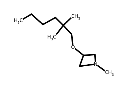 CCCCC(C)(C)COC1CN(C)C1